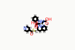 O=C(O)CC[C@@](NC(=O)[C@@H](CSC(=O)c1ccncc1)Cc1ccccc1)(Nc1ccccc1)C(=O)O